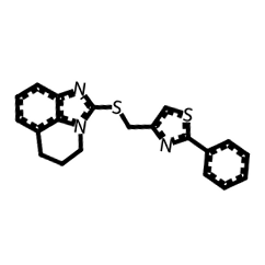 c1ccc(-c2nc(CSc3nc4cccc5c4n3CCC5)cs2)cc1